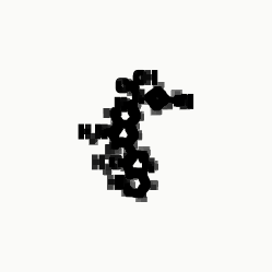 Cc1c(-c2cc3cc(N(C(=O)O)[C@H]4C[C@H](C#N)C4)ncc3c(N)c2F)cnc2c1NCCC2